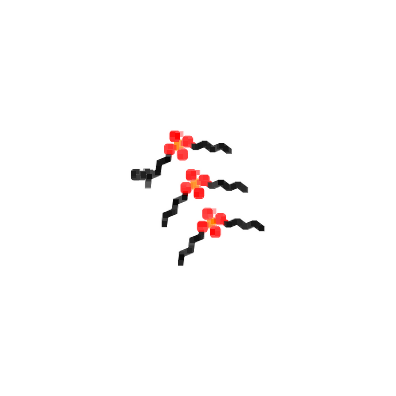 CCCCCOP(=O)([O-])OCCCCC.CCCCCOP(=O)([O-])OCCCCC.CCCCCOP(=O)([O-])OCCCCC.[Co+3]